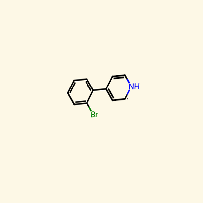 Brc1ccccc1C1=C[CH]NC=C1